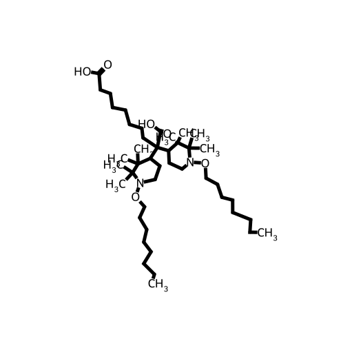 CCCCCCCCON1CCC(C(CCCCCCCC(=O)O)(C(=O)O)C2CCN(OCCCCCCCC)C(C)(C)C2(C)C)C(C)(C)C1(C)C